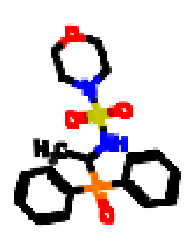 CC(NS(=O)(=O)N1CCOCC1)P(=O)(c1ccccc1)c1ccccc1